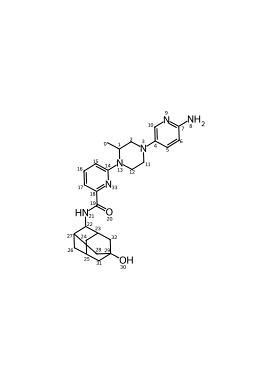 CC1CN(c2ccc(N)nc2)CCN1c1cccc(C(=O)NC2C3CC4CC2CC(O)(C4)C3)n1